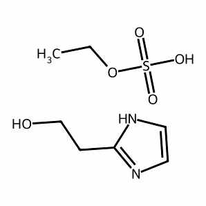 CCOS(=O)(=O)O.OCCc1ncc[nH]1